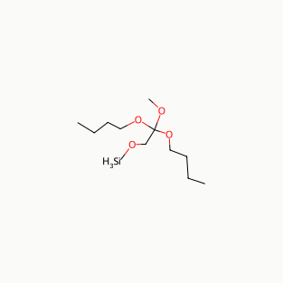 CCCCOC(CO[SiH3])(OC)OCCCC